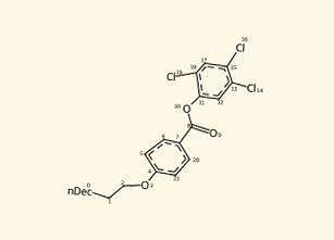 CCCCCCCCCCCCOc1ccc(C(=O)Oc2cc(Cl)c(Cl)cc2Cl)cc1